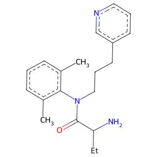 CCC(N)C(=O)N(CCCc1cccnc1)c1c(C)cccc1C